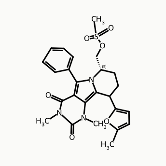 Cc1ccc(C2CC[C@@H](COS(C)(=O)=O)n3c(-c4ccccc4)c4c(=O)n(C)c(=O)n(C)c4c32)o1